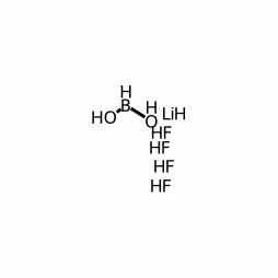 F.F.F.F.OBO.[LiH]